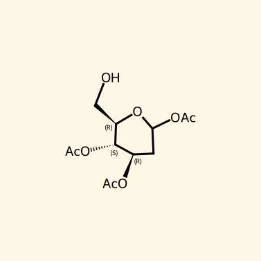 CC(=O)OC1C[C@@H](OC(C)=O)[C@H](OC(C)=O)[C@@H](CO)O1